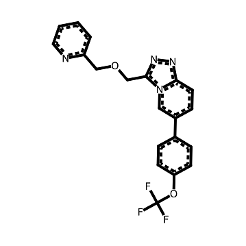 FC(F)(F)Oc1ccc(-c2ccc3nnc(COCc4ccccn4)n3c2)cc1